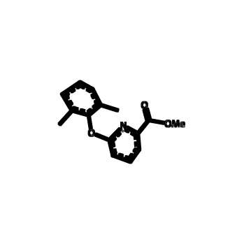 COC(=O)c1cccc(Oc2c(C)cccc2C)n1